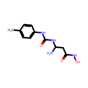 Cc1ccc(NC(=O)NC(N)CC(=O)NO)cc1